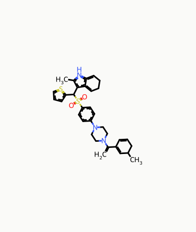 C=C(C1=CC(C)CC=C1)N1CCN(c2ccc(S(=O)(=O)C(c3cccs3)c3c(C)[nH]c4c3=CCCC=4)cc2)CC1